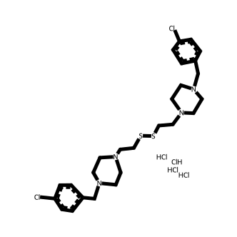 Cl.Cl.Cl.Cl.Clc1ccc(CN2CCN(CCSSCCN3CCN(Cc4ccc(Cl)cc4)CC3)CC2)cc1